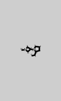 CCC1CCCN1C1CN(C)C1